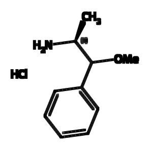 COC(c1ccccc1)[C@H](C)N.Cl